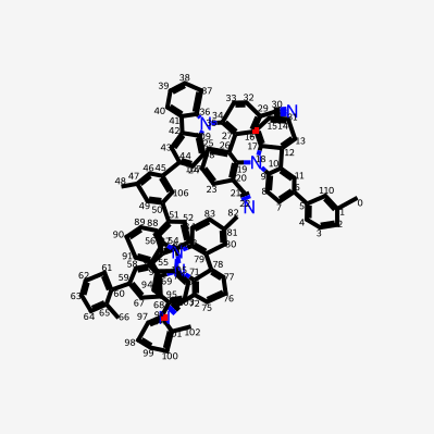 Cc1cccc(-c2ccc3c(c2)c2ccccc2n3-c2c(C#N)cccc2-c2cc(C#N)ccc2-n2c3ccccc3c3cc(-c4cc(C)cc(-c5ccc6c(c5)c5cc(-c7ccccc7C)ccc5n6-c5c(C#N)cccc5-c5cc(C)ccc5-n5c6ccccc6c6cc(-c7ccccc7C)ccc65)c4)ccc32)c1